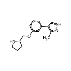 Cc1n[nH]cc1-c1c[c]cc(OCC2CCCN2)c1